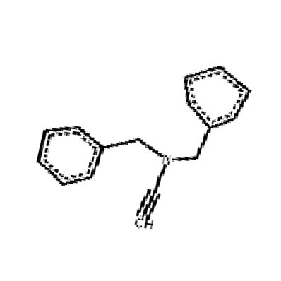 C#CN(Cc1ccccc1)Cc1ccccc1